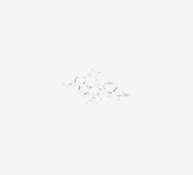 C[C@H]1CCN(C(=O)[C@@H](NC(=O)NC(C)(C)C)C(C)(C)C)[C@@H]1C(=O)NC(CC1CCC1)C(=O)C(N)=O